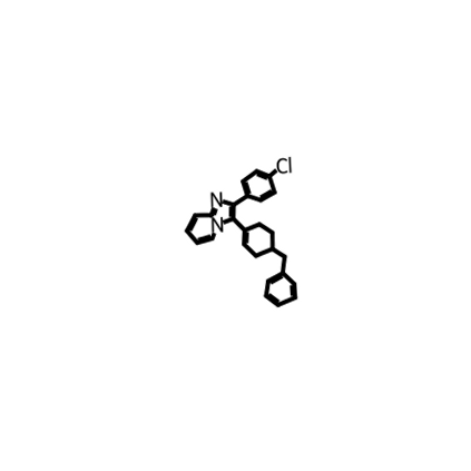 Clc1ccc(-c2nc3ccccn3c2C2=CCC(Cc3ccccc3)CC2)cc1